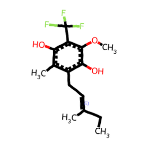 CC/C(C)=C/Cc1c(C)c(O)c(C(F)(F)F)c(OC)c1O